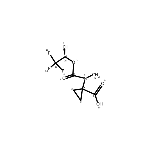 C[C@@H](OC(=O)N(C)C1(C(=O)O)CC1)C(F)(F)F